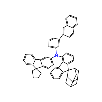 c1cc(-c2ccc3ccccc3c2)cc(N(c2ccc3c(c2)-c2ccccc2C32CCCC2)c2cccc3c2-c2ccccc2C32C3CC4CC(C3)CC2C4)c1